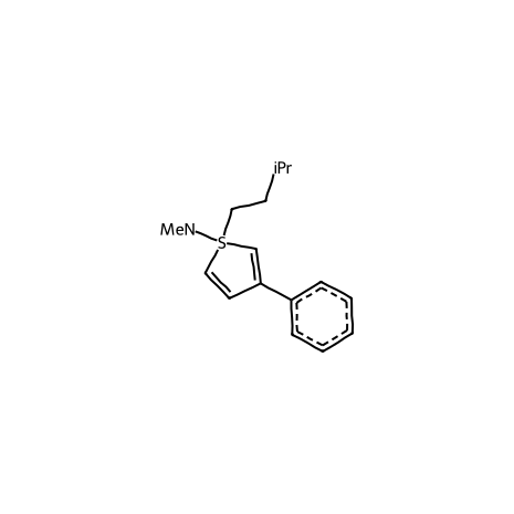 CNS1(CCC(C)C)C=CC(c2ccccc2)=C1